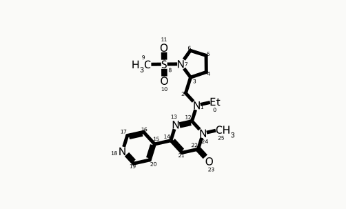 CCN(CC1CCCN1S(C)(=O)=O)c1nc(-c2ccncc2)cc(=O)n1C